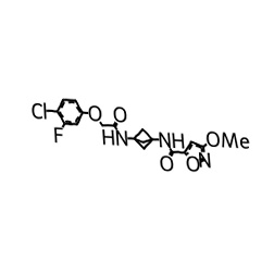 COc1cc(C(=O)NC23CC(NC(=O)COc4ccc(Cl)c(F)c4)(C2)C3)on1